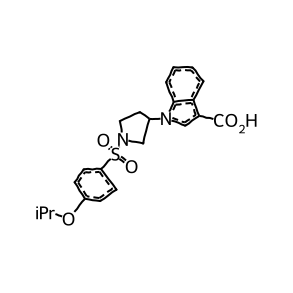 CC(C)Oc1ccc(S(=O)(=O)N2CCC(n3cc(C(=O)O)c4ccccc43)C2)cc1